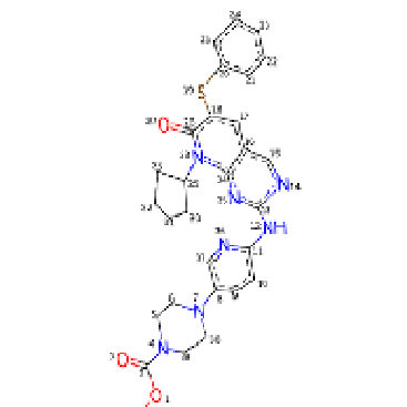 CC(C)(C)OC(=O)N1CCN(c2ccc(Nc3ncc4cc(Sc5ccccc5)c(=O)n(C5CCCC5)c4n3)nc2)CC1